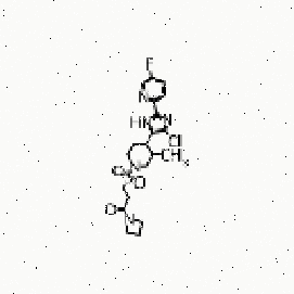 C[C@H]1CN(S(=O)(=O)CCC(=O)N2CCC2)CC[C@H]1c1[nH]c(-c2ccc(F)cn2)nc1Cl